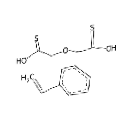 C=Cc1ccccc1.OC(=S)COCC(O)=S